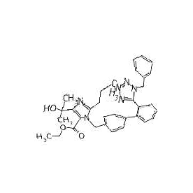 CCCc1nc(C(C)(C)O)c(C(=O)OCC)n1Cc1ccc(-c2ccccc2-c2nnnn2Cc2ccccc2)cc1